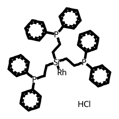 Cl.[Rh][Si](CCP(c1ccccc1)c1ccccc1)(CCP(c1ccccc1)c1ccccc1)CCP(c1ccccc1)c1ccccc1